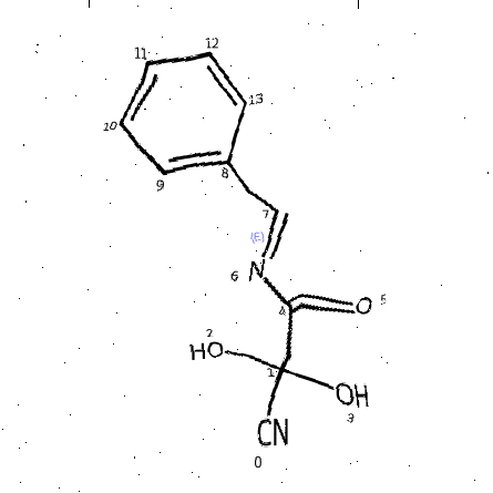 N#CC(O)(O)C(=O)/N=C/c1ccccc1